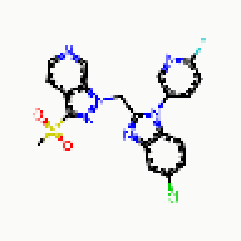 CS(=O)(=O)c1nn(Cc2nc3cc(Cl)ccc3n2-c2ccc(F)nc2)c2cnccc12